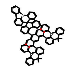 CC1(C)c2ccccc2N(c2ccccc2)c2c(-c3cccc4c(-c5cccc6c5-c5ccccc5C65c6ccccc6-n6c7ccccc7c7cccc5c76)c5cccc(-c6cccc7c6N(c6ccccc6)c6ccccc6C7(C)C)c5cc34)cccc21